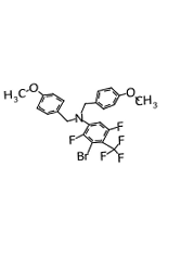 COc1ccc(CN(Cc2ccc(OC)cc2)c2cc(F)c(C(F)(F)F)c(Br)c2F)cc1